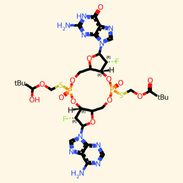 CC(C)(C)C(=O)OCSP1(=O)OCC2OC(n3cnc4c(N)ncnc43)[C@H](F)[C@@H]2OP(=O)(SCOC(O)C(C)(C)C)OCC2OC(n3cnc4c(=O)[nH]c(N)nc43)[C@H](F)[C@@H]2O1